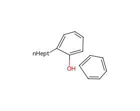 CCCCCCCc1ccccc1O.c1ccccc1